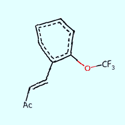 CC(=O)/C=C/c1ccccc1OC(F)(F)F